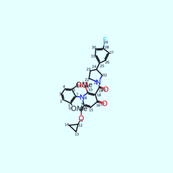 COc1cccc(OC)c1-n1c(COC2CC2)cc(=O)c(C(=O)N2CCC(c3ccc(F)cc3)C2)c1O